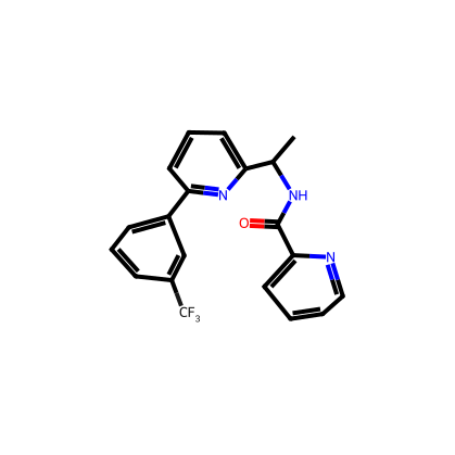 CC(NC(=O)c1ccccn1)c1cccc(-c2cccc(C(F)(F)F)c2)n1